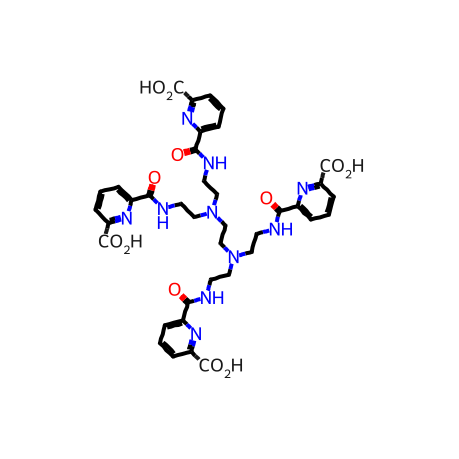 O=C(O)c1cccc(C(=O)NCCN(CCNC(=O)c2cccc(C(=O)O)n2)CCN(CCNC(=O)c2cccc(C(=O)O)n2)CCNC(=O)c2cccc(C(=O)O)n2)n1